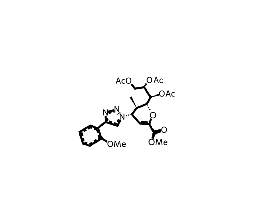 COC(=O)C1=C[C@H](n2cc(-c3ccccc3OC)nn2)[C@@H](C)[C@H]([C@H](OC(C)=O)[C@@H](COC(C)=O)OC(C)=O)O1